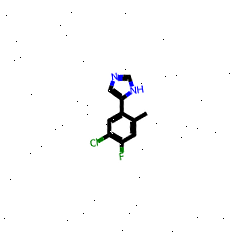 Cc1cc(F)c(Cl)cc1-c1cnc[nH]1